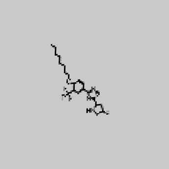 CCCCCCCCOc1ccc(-c2noc(C3CC(F)CN3)n2)cc1C(F)(F)F